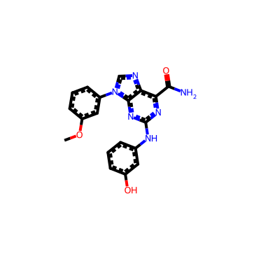 COc1cccc(-n2cnc3c(C(N)=O)nc(Nc4cccc(O)c4)nc32)c1